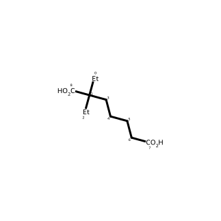 CCC(CC)(CCCCC(=O)O)C(=O)O